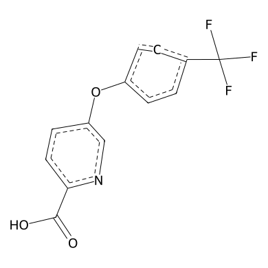 O=C(O)c1ccc(Oc2ccc(C(F)(F)F)cc2)cn1